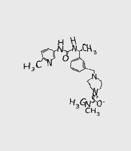 Cc1ccc(NC(=O)N[C@@H](C)c2cccc(CN3CCN([S+]([O-])N(C)C)CC3)c2)cn1